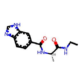 CCNC(=O)[C@H](C)NC(=O)c1ccc2nc[nH]c2c1